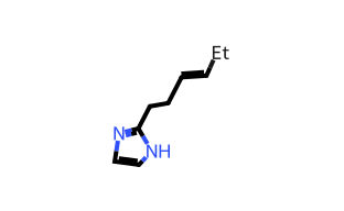 [CH2]C/C=C/CCc1ncc[nH]1